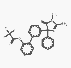 CN1C(=O)C(c2ccccc2)(c2cccc(-c3ccccc3OC(=O)C(F)(F)F)c2)N=C1N